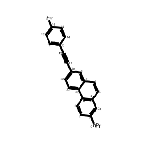 CCCc1ccc2c(ccc3cc(C#Cc4ccc(F)cc4)ccc32)c1